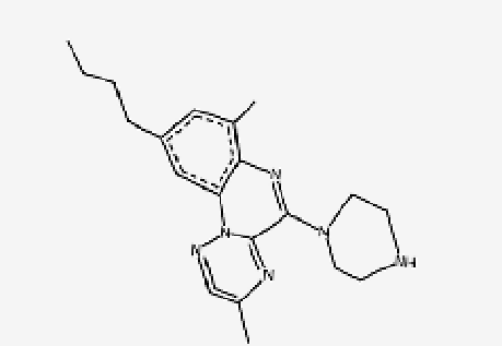 CCCCc1cc(C)c2c(c1)N1N=C=C(C)N=C1C(N1CCNCC1)=N2